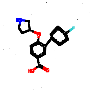 O=C(O)c1ccc(O[C@H]2CCNC2)c(-c2ccc(F)cc2)c1